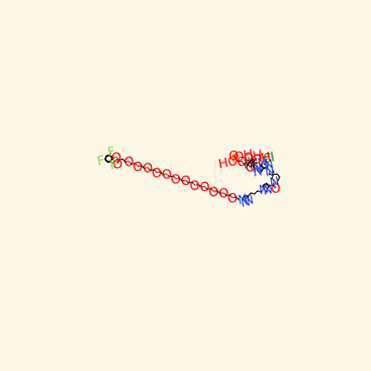 O=C(CCOCCOCCOCCOCCOCCOCCOCCOCCOCCOCCOCCOCCn1cc(CCCCn2ccc(C(=O)N3CCCC4(C3)CN(c3nc(Cl)nc5c3cnn5[C@@H]3O[C@H](COCP(=O)(O)O)[C@@H](O)[C@H]3O)C4)n2)nn1)Oc1c(F)cc(F)cc1F